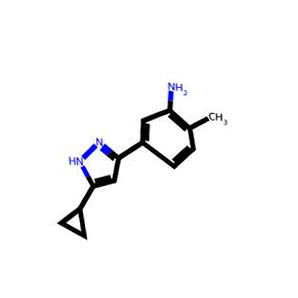 Cc1ccc(-c2cc(C3CC3)[nH]n2)cc1N